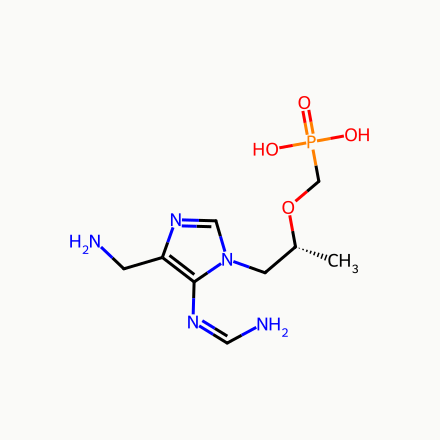 C[C@H](Cn1cnc(CN)c1/N=C\N)OCP(=O)(O)O